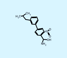 CC(C)Cc1cccc(-c2ccc(C(N)O)c([SH](=O)=O)c2)c1